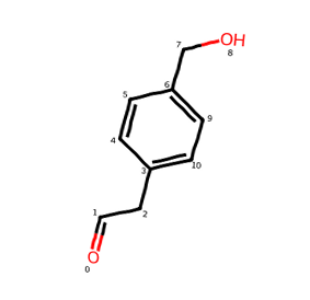 O=CCc1ccc(CO)cc1